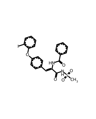 CS(=O)(=O)NC(=O)/C(=C/c1ccc(Oc2ccccc2I)cc1)NC(=O)c1ccccc1